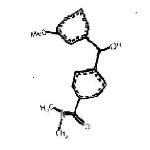 COc1cccc(C(O)c2ccc(C(=O)N(C)C)cc2)c1